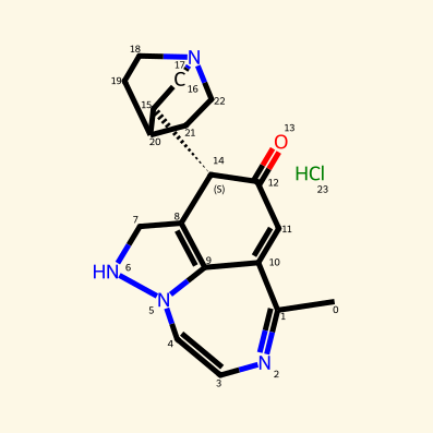 CC1=NC=CN2NCC3=C2C1=CC(=O)[C@H]3C1CN2CCC1CC2.Cl